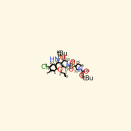 C=CCOc1cc(C)c(Cl)cc1[C@H](N[S@@+]([O-])C(C)(C)C)C1CCN(S(=O)(=O)C2CCN(C(=O)OC(C)(C)C)C2)CC1